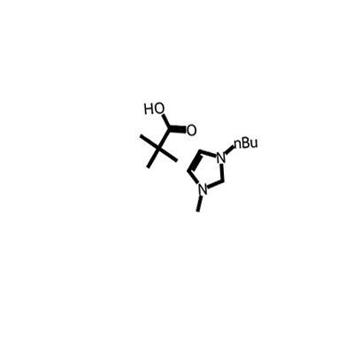 CC(C)(C)C(=O)O.CCCCN1C=CN(C)C1